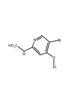 CCOc1cc(NC(=O)O)ncc1Br